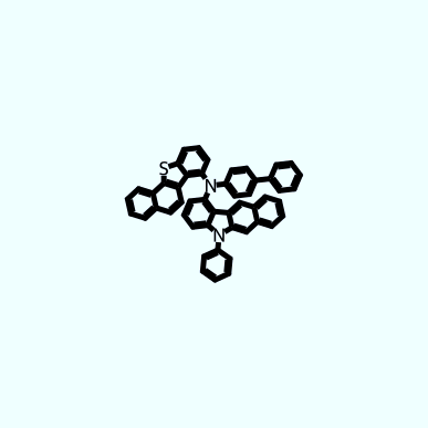 c1ccc(-c2ccc(N(c3cccc4sc5c6ccccc6ccc5c34)c3cccc4c3c3cc5ccccc5cc3n4-c3ccccc3)cc2)cc1